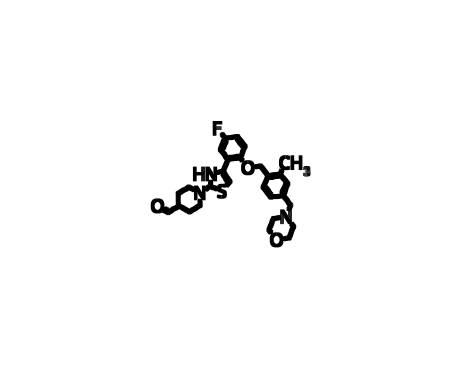 Cc1cc(CN2CCOCC2)ccc1COc1ccc(F)cc1C1=CSC(N2CCC(C=O)CC2)N1